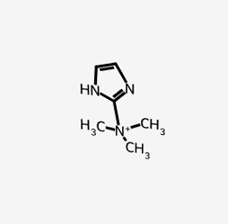 C[N+](C)(C)c1ncc[nH]1